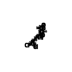 Cc1oc2c(C)c3oc(=O)cc(C)c3cc2c1CNCCCN(CCCl)CCCl